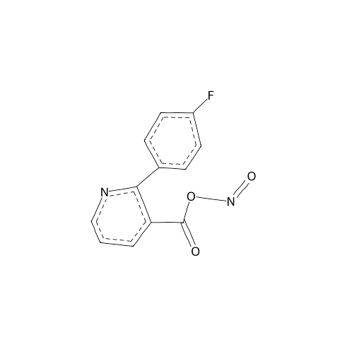 O=NOC(=O)c1cccnc1-c1ccc(F)cc1